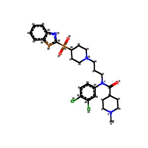 CC(=O)N1CCC(C(=O)N(CCCN2CCC(S(=O)(=O)c3nc4ccccc4s3)CC2)c2ccc(Cl)c(Cl)c2)CC1